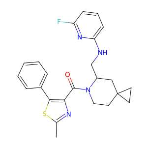 Cc1nc(C(=O)N2CCC3(CC3)CC2CNc2cccc(F)n2)c(-c2ccccc2)s1